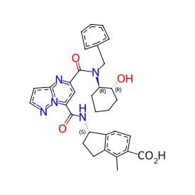 Cc1c(C(=O)O)ccc2c1CC[C@@H]2NC(=O)c1cc(C(=O)N(Cc2ccccc2)[C@@H]2CCCC[C@H]2O)nc2ccnn12